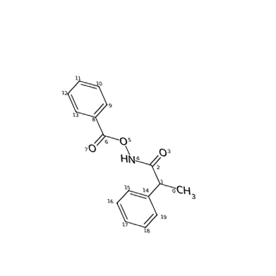 CC(C(=O)NOC(=O)c1ccccc1)c1ccccc1